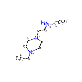 O=C(O)NCCN1CCN(CC(F)(F)F)CC1